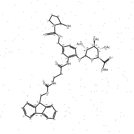 COC(=O)[C@H]1OC(Oc2ccc(COC(=O)N3CCCC3O)cc2NC(=O)CCNC(=O)OCC2c3ccccc3-c3ccccc32)[C@H](OC(C)=O)[C@@H](OC(C)=O)[C@@H]1OC(C)=O